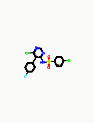 O=S(=O)(Nc1ncnc(Cl)c1-c1ccc(F)cc1)c1ccc(Cl)cc1